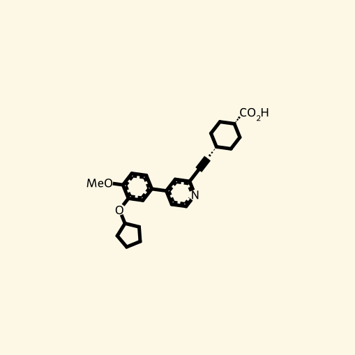 COc1ccc(-c2ccnc(C#C[C@H]3CC[C@@H](C(=O)O)CC3)c2)cc1OC1CCCC1